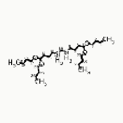 CCCCOC(CCC[SiH2]C[SiH2]CCCC(OCCCC)OCCCC)OCCCC